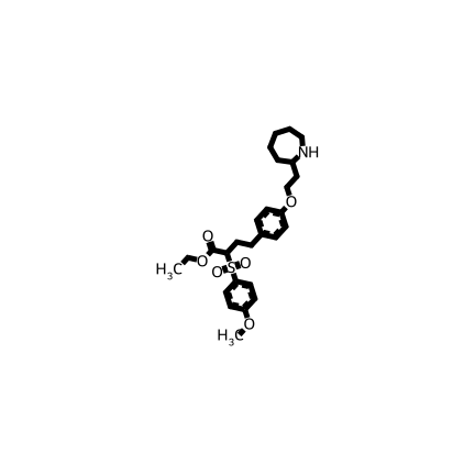 CCOC(=O)C(CCc1ccc(OCCC2CCCCCN2)cc1)S(=O)(=O)c1ccc(OC)cc1